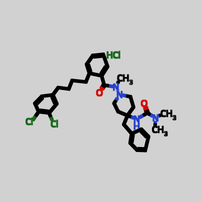 CN(C)C(=O)NC1(Cc2ccccc2)CCN(N(C)C(=O)c2ccccc2CCCCc2ccc(Cl)c(Cl)c2)CC1.Cl